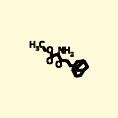 CCOC(=O)C(N)C(=O)CCC12CC3CC(CC(C3)C1)C2